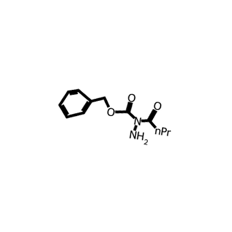 CCCC(=O)N(N)C(=O)OCc1ccccc1